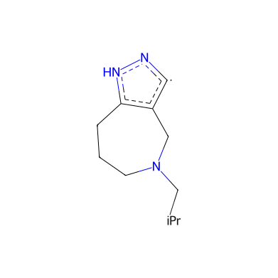 CC(C)CN1CCCc2[nH]n[c]c2C1